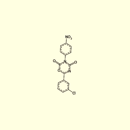 O=c1nc(-c2cccc(Cl)c2)oc(=O)n1-c1ccc([N+](=O)[O-])cc1